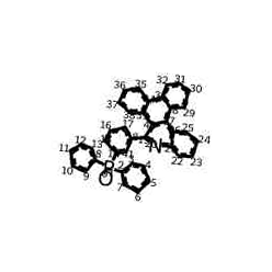 O=P(c1ccccc1)(c1ccccc1)c1cccc(-c2nc3ccccc3c3c4ccccc4c4ccccc4c23)c1